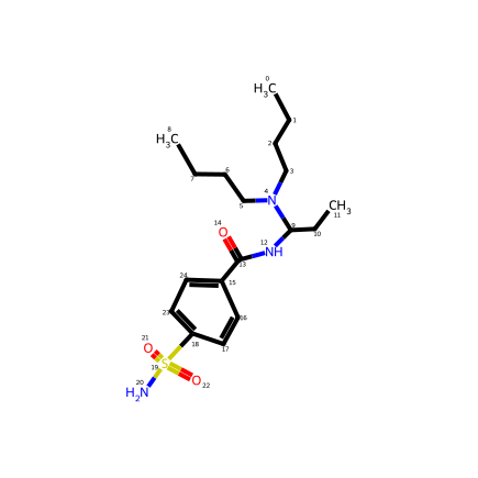 CCCCN(CCCC)C(CC)NC(=O)c1ccc(S(N)(=O)=O)cc1